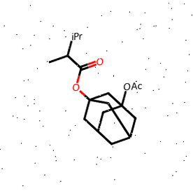 CC(=O)OC12CC3CC(C1)CC(OC(=O)C(C)C(C)C)(C3)C2